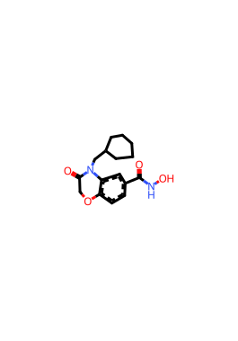 O=C(NO)c1ccc2c(c1)N(CC1CCCCC1)C(=O)CO2